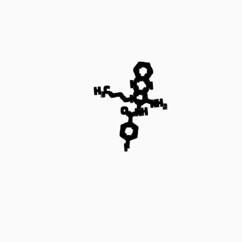 CCCCn1c(NC(=O)c2ccc(F)cc2)c(N)c2nc3ccccc3nc21